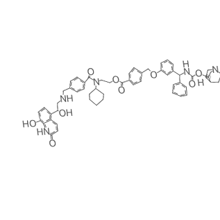 O=C(NC(c1ccccc1)c1cccc(OCc2ccc(C(=O)OCCN(C(=O)c3ccc(CNCC(O)c4ccc(O)c5[nH]c(=O)ccc45)cc3)C3CCCCC3)cc2)c1)O[C@H]1CN2CCC1CC2